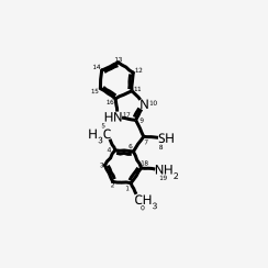 Cc1ccc(C)c(C(S)c2nc3ccccc3[nH]2)c1N